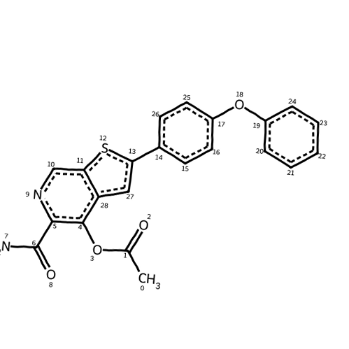 CC(=O)Oc1c(C(N)=O)ncc2sc(-c3ccc(Oc4ccccc4)cc3)cc12